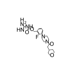 N=C(N)NC(=O)OCc1cccc(N2CCN(C(=O)CC3CCOCC3)CC2)c1F